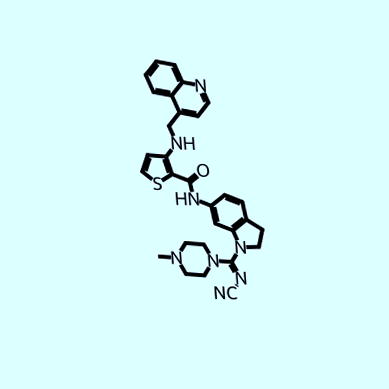 CN1CCN(C(=NC#N)N2CCc3ccc(NC(=O)c4sccc4NCc4ccnc5ccccc45)cc32)CC1